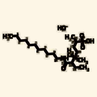 CCCCCCCCCCCNC(=O)C(CC)[N+](C)(C)CCC(C)S(=O)(=O)O.[OH-]